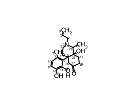 C=CCN1CCC2(c3c(C)ccc(O)c3O)CC(=O)CCC2(O)C1C